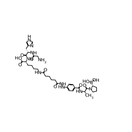 C[C@@H](NC(=O)c1ccc(NNC(=O)CCCCC(=O)NCCCC[C@H](NC(=O)[C@H](Cc2c[nH]cn2)NC(=O)CN)C(=O)O)cc1)C(=O)N1CCC[C@H]1B(O)O